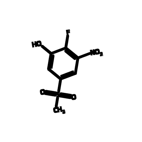 CS(=O)(=O)c1cc(O)c(F)c([N+](=O)[O-])c1